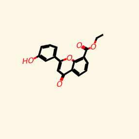 CCOC(=O)c1cccc2c(=O)cc(-c3cccc(O)c3)oc12